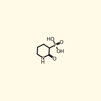 O=C1NCCCC1P(=O)(O)O